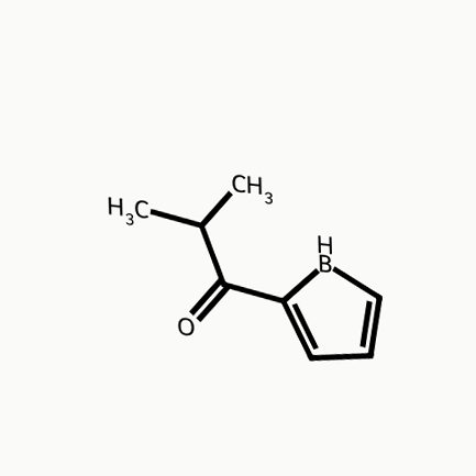 CC(C)C(=O)C1=CC=CB1